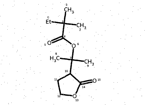 CCC(C)(C)C(=O)OC(C)(C)C1CCOC1=O